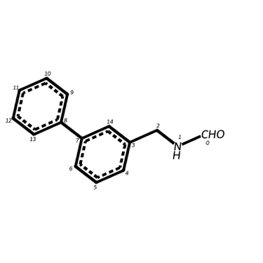 O=CNCc1cccc(-c2ccccc2)c1